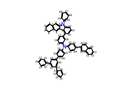 C1=Cc2cc3c(cc2CC1)c1c(-c2cccc(N(c4ccc(-c5cc(-c6ccccc6)cc(-c6ccccc6)c5)cc4)c4ccc(-c5ccc6ccccc6c5)cc4)c2)cccc1n3-c1ccccc1